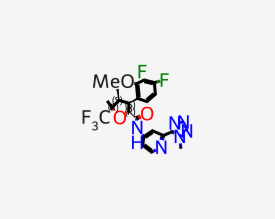 COc1c([C@H]2[C@H](C(=O)Nc3ccnc(-c4nnnn4C)c3)O[C@@](C)(C(F)(F)F)[C@H]2C)ccc(F)c1F